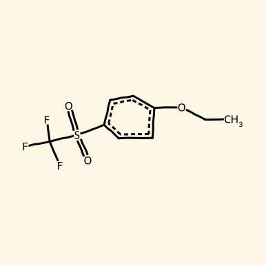 CCOc1ccc(S(=O)(=O)C(F)(F)F)cc1